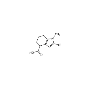 Cn1c(Cl)cc2c1CCCC2C(=O)O